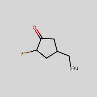 CCCCCC1CC(=O)C(Br)C1